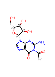 CC(C)C(=O)n1c(N)nc2c(ncn2[C@@H]2O[C@H](CO)[C@@H](O)[C@H]2O)c1=O